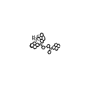 CC1(C)c2cccc3ccc4cc(N(c5cccc(-c6cccc(N(c7ccccc7)c7cc8ccc9cccc%10ccc(c7)c8c9%10)c6)c5)c5cc6ccc7cccc8ccc(c5)c6c78)cc1c4c23